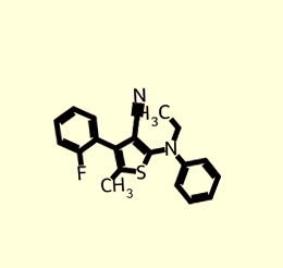 CCN(c1ccccc1)c1sc(C)c(-c2ccccc2F)c1C#N